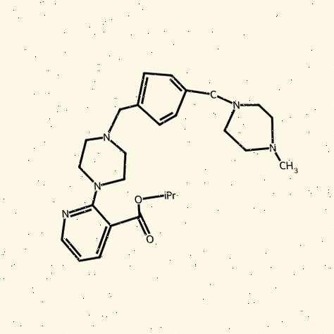 CC(C)OC(=O)c1cccnc1N1CCN(Cc2ccc(CN3CCN(C)CC3)cc2)CC1